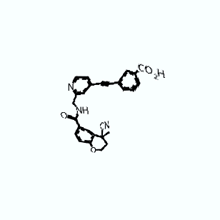 CC1(C#N)CCOc2ccc(C(=O)NCc3cc(C#Cc4cccc(C(=O)O)c4)ccn3)cc21